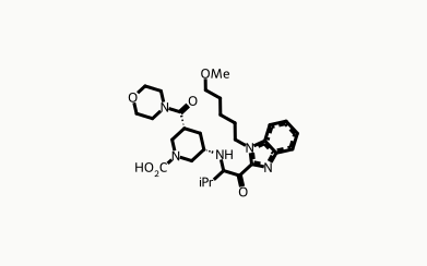 COCCCCCn1c(C(=O)C(N[C@H]2C[C@@H](C(=O)N3CCOCC3)CN(C(=O)O)C2)C(C)C)nc2ccccc21